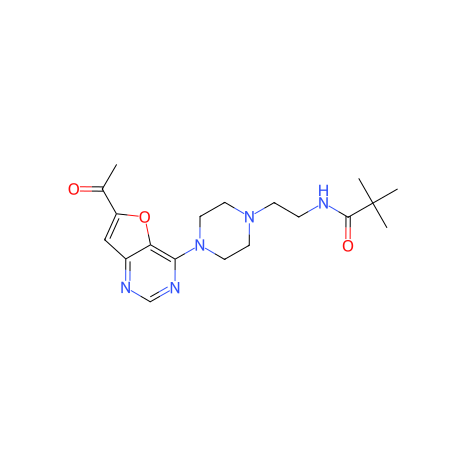 CC(=O)c1cc2ncnc(N3CCN(CCNC(=O)C(C)(C)C)CC3)c2o1